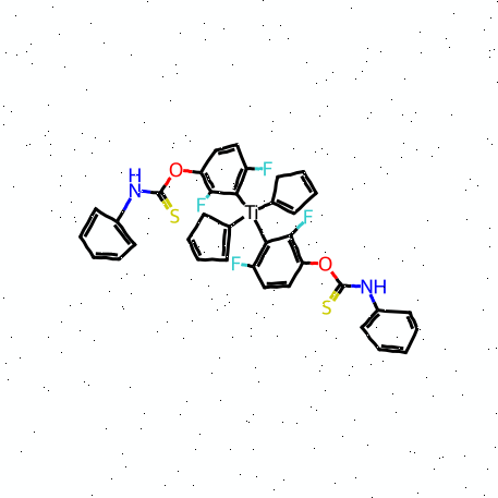 Fc1ccc(OC(=S)Nc2ccccc2)c(F)[c]1[Ti]([C]1=CC=CC1)([C]1=CC=CC1)[c]1c(F)ccc(OC(=S)Nc2ccccc2)c1F